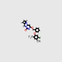 N#Cc1cc(C(F)(F)F)c(Oc2ccccc2COc2cc3n(c(=O)n2)CC24CC(CN32)C4)cc1F